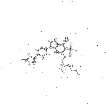 CCCN[C@H](CC)CCc1nc2c(-c3ccc(-c4ncc(C)s4)nc3)cnn2c(N)c1S(C)(=O)=O